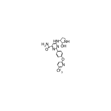 NC(=O)c1cc(N[C@H]2CCNC2O)nc(-c2ccc(Oc3ccc(C(F)(F)F)cn3)cc2)n1